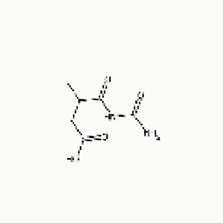 CC(CC(=O)O)C(=O)NC(N)=O